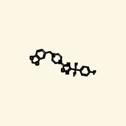 Fc1ccc(C(F)(F)c2noc(N3CCN(Cc4ccc5c(c4)OCO5)CC3)n2)cc1